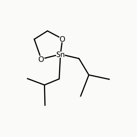 CC(C)[CH2][Sn]1([CH2]C(C)C)[O]CC[O]1